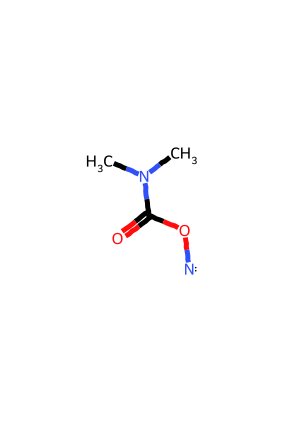 CN(C)C(=O)O[N]